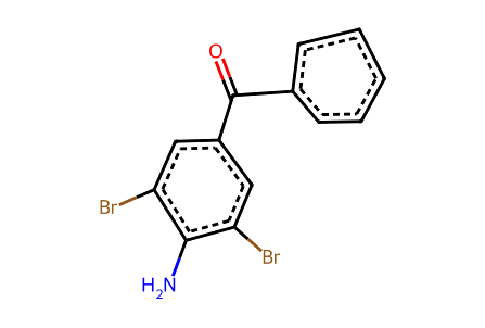 Nc1c(Br)cc(C(=O)c2ccccc2)cc1Br